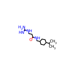 CC(C)C1CCC(CNC(=O)CCNC(=N)N)CC1